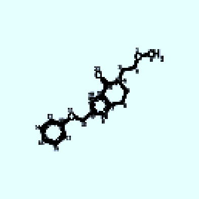 COCCN1CCc2nc(COc3ccccc3)sc2C1=O